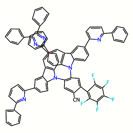 N#Cc1cc(-n2c3ccc(-c4cccc(-c5ccccc5)n4)cc3c3cc(-c4cccc(-c5ccccc5)n4)ccc32)c(-n2c3ccc(-c4cccc(-c5ccccc5)n4)cc3c3cc(-c4cccc(-c5ccccc5)n4)ccc32)cc1-c1c(F)c(F)c(F)c(F)c1F